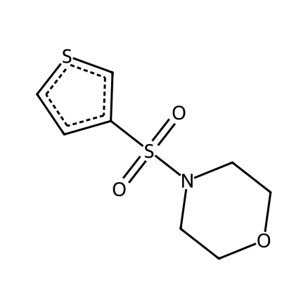 O=S(=O)(c1ccsc1)N1CCOCC1